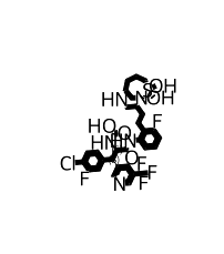 O=C(O)N[C@H](C(=O)Nc1cccc(F)c1CCC1CNC2CCCS(O)(O)N1C2)[C@H](c1cncc(C(F)(F)F)c1)c1ccc(Cl)c(F)c1